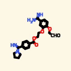 N=C(N)c1ccc(OCC=O)c(OCCOC(=O)c2ccc(C(=N)N3CCCC3)cc2)c1